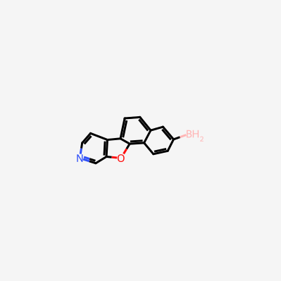 Bc1ccc2c(ccc3c4ccncc4oc23)c1